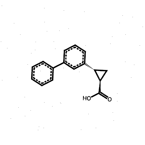 O=C(O)[C@@H]1C[C@H]1c1cccc(-c2ccccc2)c1